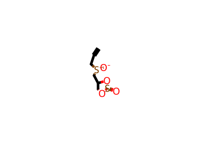 C#CC[S+]([O-])CC1COS(=O)O1